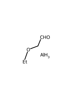 CCOCC=O.[AlH3]